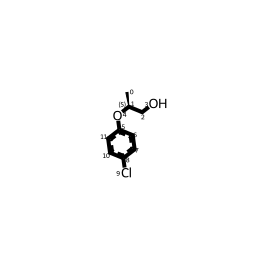 C[C@@H](CO)Oc1ccc(Cl)cc1